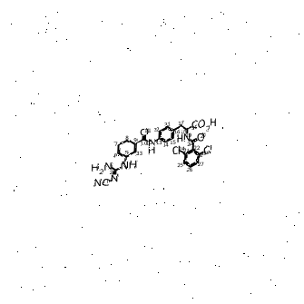 N#C/N=C(\N)N[C@H]1CCC[C@@H](C(=O)Nc2ccc(C[C@H](NC(=O)c3c(Cl)cccc3Cl)C(=O)O)cc2)C1